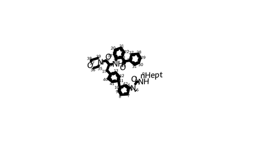 CCCCCCCNC(=O)N(C)c1cccc(-c2ccc(CC(Nc3ccccc3C(=O)c3ccccc3)C(=O)N3CCOCC3)cc2)c1